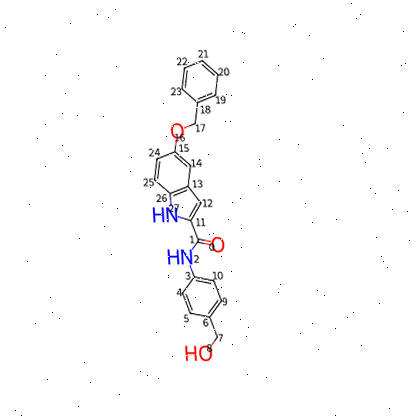 O=C(Nc1ccc(CO)cc1)c1cc2cc(OCc3ccccc3)ccc2[nH]1